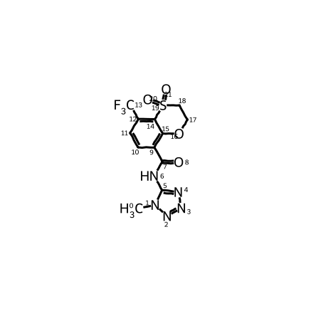 Cn1nnnc1NC(=O)c1ccc(C(F)(F)F)c2c1OCCS2(=O)=O